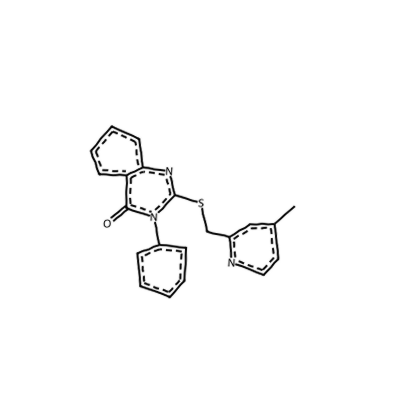 Cc1ccnc(CSc2nc3ccccc3c(=O)n2-c2ccccc2)c1